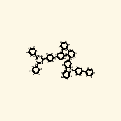 c1ccc(-c2ccc(-n3c4ccccc4c4ccc(-c5cccc6c7ccccc7c7cc(-c8ccc(-c9nc(-c%10ccccc%10)nc(-c%10ccccc%10)n9)cc8)ccc7c56)cc43)cc2)cc1